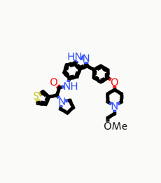 COCCN1CCC(Oc2ccc(-c3n[nH]c4ccc(NC(=O)C(c5ccsc5)N5CCCC5)cc34)cc2)CC1